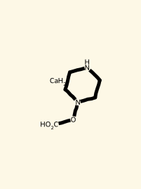 O=C(O)ON1CCNCC1.[CaH2]